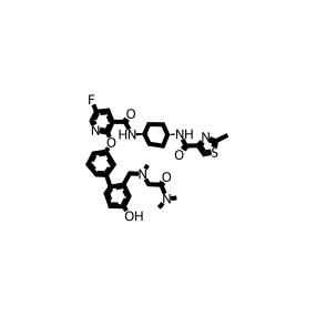 Cc1nc(C(=O)N[C@H]2CC[C@H](NC(=O)c3cc(F)cnc3Oc3cccc(-c4ccc(O)cc4CN(C)CC(=O)N(C)C)c3)CC2)cs1